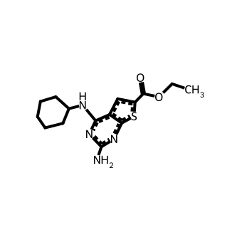 CCOC(=O)c1cc2c(NC3CCCCC3)nc(N)nc2s1